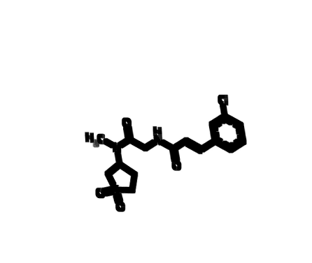 CN(C(=O)CNC(=O)/C=C/c1cccc(Cl)c1)C1CCS(=O)(=O)C1